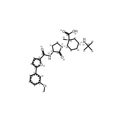 COc1cccc(-c2ccc(C(=O)N[C@H]3CCN([C@H]4CC[C@@H](NC(C)(C)C)C[C@@]4(C)C(=O)O)C3=O)o2)c1